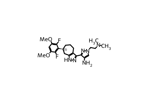 COc1cc(OC)c(F)c([C@H]2CCCc3c(-c4nn(CCN(C)C)cc4N)n[nH]c3C2)c1F